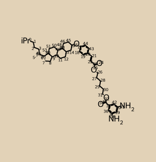 CC(C)CCC[C@@H](C)[C@H]1CCC2C3CCC4CC(Oc5ccc(C=CC(=O)OCCCCCCOC(=O)c6cc(N)cc(N)c6)cc5)CC[C@]4(C)C3CC[C@@]21C